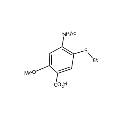 CCSc1cc(C(=O)O)c(OC)cc1NC(C)=O